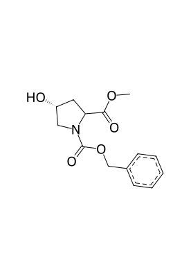 COC(=O)C1C[C@@H](O)CN1C(=O)OCc1ccccc1